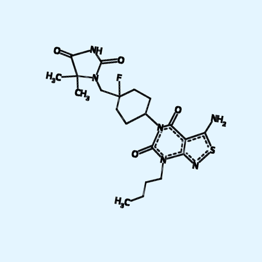 CCCCn1c(=O)n(C2CCC(F)(CN3C(=O)NC(=O)C3(C)C)CC2)c(=O)c2c(N)snc21